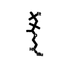 CCC(C)(C)CC(C)(C)C(C)OCCNC(C)(C)C